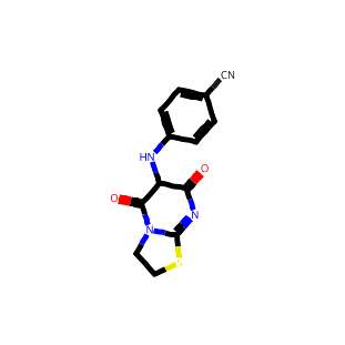 N#Cc1ccc(NC2C(=O)N=C3SCCN3C2=O)cc1